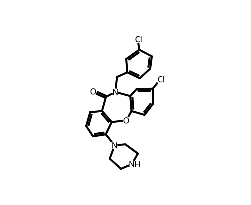 O=C1c2cccc(N3CCNCC3)c2Oc2ccc(Cl)cc2N1Cc1cccc(Cl)c1